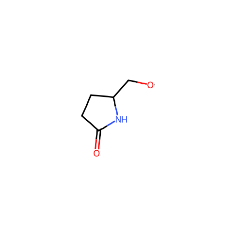 [O]CC1CCC(=O)N1